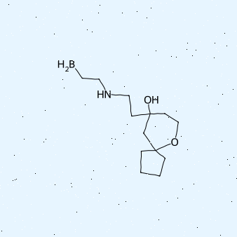 BCCNCCC1(O)CCOC2(CCCC2)C1